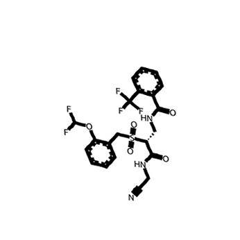 N#CCNC(=O)[C@@H](CNC(=O)c1ccccc1C(F)(F)F)S(=O)(=O)Cc1ccccc1OC(F)F